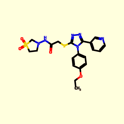 CCOc1ccc(-n2c(SCC(=O)NN3CCS(=O)(=O)C3)nnc2-c2cccnc2)cc1